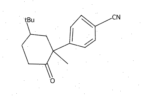 CC1(c2ccc(C#N)cc2)CC(C(C)(C)C)CCC1=O